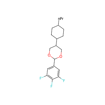 CCCC1CCC(C2COC(c3cc(F)c(F)c(F)c3)OC2)CC1